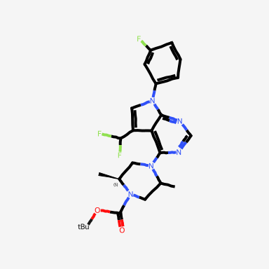 CC1CN(C(=O)OC(C)(C)C)[C@@H](C)CN1c1ncnc2c1c(C(F)F)cn2-c1cccc(F)c1